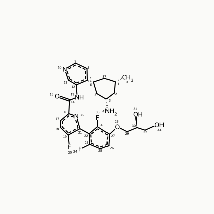 C[C@@H]1C[C@H](N)C[C@H](c2ccncc2NC(=O)c2ccc(F)c(-c3c(F)ccc(OC[C@@H](O)CO)c3F)n2)C1